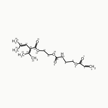 C=CC(=O)OCCNC(=O)OCCOC(=O)C(C=C(C)C)=C(C)C